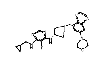 Fc1c(NCC2CC2)ncnc1N[C@H]1CC[C@@H](Oc2cc(N3CCOCC3)cc3nccnc23)CC1